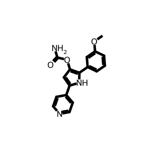 COc1cccc(-c2[nH]c(-c3ccncc3)cc2OC(N)=O)c1